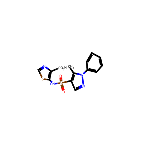 Cc1c(S(=O)(=O)Nc2scnc2C(=O)O)cnn1-c1ccccc1